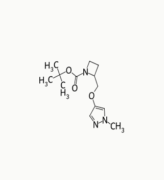 Cn1cc(OCC2CCN2C(=O)OC(C)(C)C)cn1